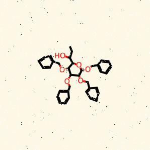 CCC(O)C1O[C@H](OCc2ccccc2)C(OCc2ccccc2)C(OCc2ccccc2)[C@@H]1OCc1ccccc1